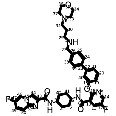 O=C(N[C@H]1CC[C@@H](NC(=O)c2cc(F)cnc2Oc2cccc(-c3ccc(CNCCCN4CCOCC4)cc3)c2)CC1)c1cn2cc(F)ccc2n1